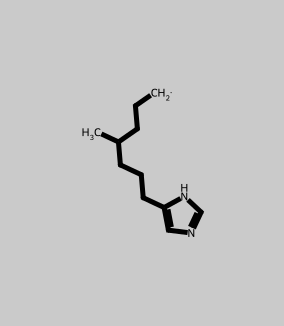 [CH2]CCC(C)CCCc1cnc[nH]1